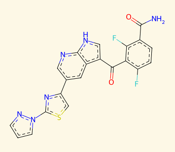 NC(=O)c1ccc(F)c(C(=O)c2c[nH]c3ncc(-c4csc(-n5cccn5)n4)cc23)c1F